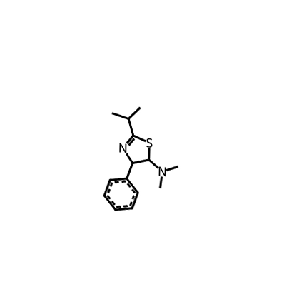 CC(C)C1=NC(c2ccccc2)C(N(C)C)S1